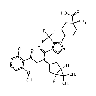 COc1cccc(Cl)c1C(=O)CN(C(=O)c1cnn([C@H]2CC[C@](C)(C(=O)O)CC2)c1C(F)(F)F)[C@H]1C[C@@H]2[C@H](C1)C2(C)C